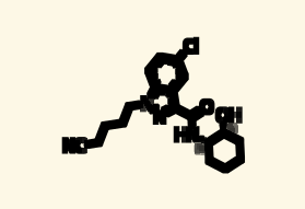 N#CCCCCn1nc(C(=O)N[C@H]2CCCC[C@@H]2O)c2cc(Cl)ccc21